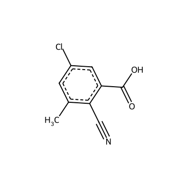 Cc1cc(Cl)cc(C(=O)O)c1C#N